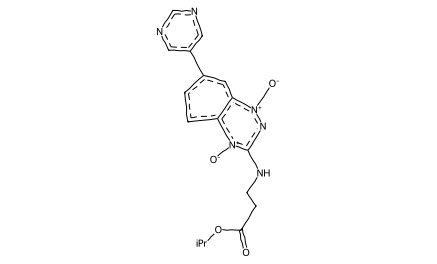 CC(C)OC(=O)CCNc1n[n+]([O-])c2cc(-c3cncnc3)ccc2[n+]1[O-]